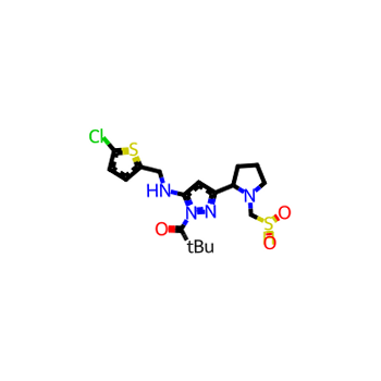 CC(C)(C)C(=O)n1nc(C2CCCN2C[SH](=O)=O)cc1NCc1ccc(Cl)s1